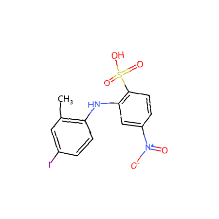 Cc1cc(I)ccc1Nc1cc([N+](=O)[O-])ccc1S(=O)(=O)O